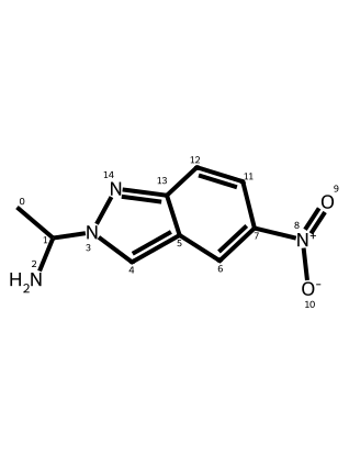 CC(N)n1cc2cc([N+](=O)[O-])ccc2n1